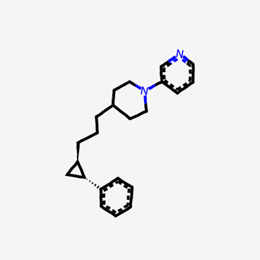 c1ccc([C@@H]2C[C@H]2CCCC2CCN(c3cccnc3)CC2)cc1